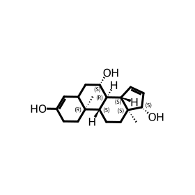 C[C@]12CC[C@H]3[C@@H]([C@@H](O)CC4C=C(O)CC[C@@]43C)[C@@H]1C=C[C@@H]2O